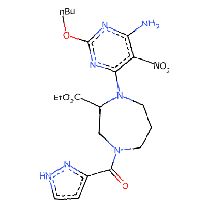 CCCCOc1nc(N)c([N+](=O)[O-])c(N2CCCN(C(=O)c3cc[nH]n3)CC2C(=O)OCC)n1